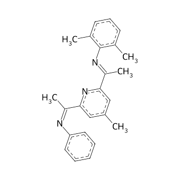 CC(=Nc1ccccc1)c1cc(C)cc(C(C)=Nc2c(C)cccc2C)n1